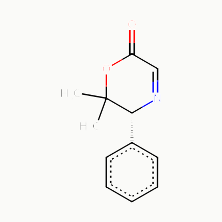 CC1(C)OC(=O)C=N[C@@H]1c1ccccc1